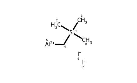 C[Si](C)(C)[CH2][Al+2].[I-].[I-]